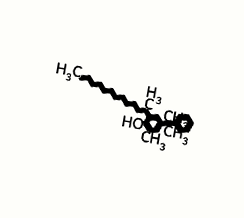 CCCCCCCCCCCCC(C)c1cc(C(C)(C)c2ccccc2)cc(C)c1O